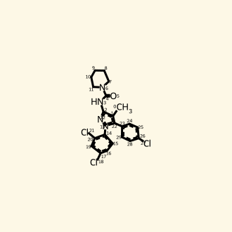 Cc1c(NC(=O)N2CCCCC2)nn(-c2ccc(Cl)cc2Cl)c1-c1ccc(Cl)cc1